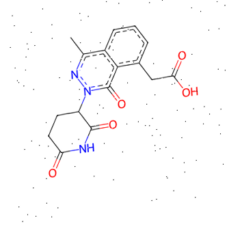 Cc1nn(C2CCC(=O)NC2=O)c(=O)c2c(CC(=O)O)cccc12